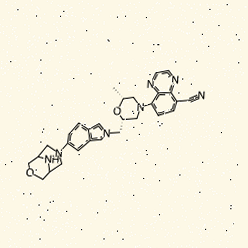 C[C@@H]1CN(c2ccc(C#N)c3nccnc23)C[C@H](Cn2cc3ccc(N4CC5COCC(C4)N5)cc3c2)O1